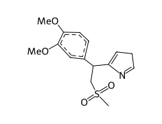 COc1ccc(C(CS(C)(=O)=O)C2=CCC=N2)cc1OC